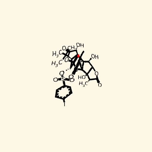 C[C@@H]1C(=O)OC2[C@H](O)C34C5OC(=O)C3(OC3OC(=O)[C@H](O)C34[C@H](C(C)(C)C)[C@H]5OS(=O)(=O)c3ccc(I)cc3)[C@]21O